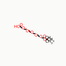 CC(C)(C)OC(=O)COCCOCCOCCOCCOCC(=O)O